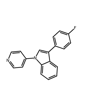 Fc1ccc(-c2cn(-c3ccncc3)c3ccccc23)cc1